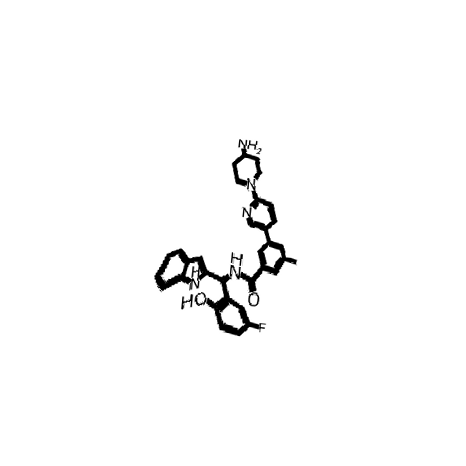 Cc1cc(C(=O)NC(c2cc3ccccc3[nH]2)c2cc(F)ccc2O)cc(-c2ccc(N3CCC(N)CC3)nc2)c1